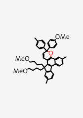 COCCCCC1(CCCCOC)c2cc(C)ccc2-c2c1c1c(c3cc(C)ccc23)OC(c2ccc(C)cc2)(c2ccc(OC)cc2)C=C1